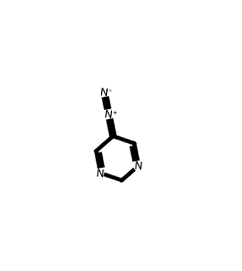 [N-]=[N+]=C1C=NCN=C1